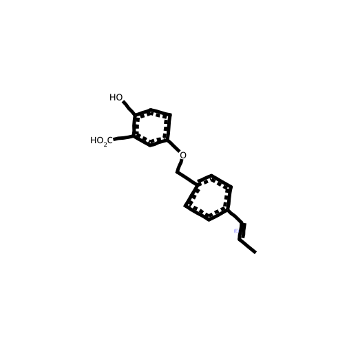 C/C=C/c1ccc(COc2ccc(O)c(C(=O)O)c2)cc1